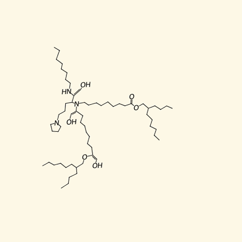 CCCCCCCCNC(=CO)C(CCCN1CCCC1)N(CCCCCCCCC(=O)OCC(CCCC)CCCCCC)C(=CO)CCCCCCCC(=CO)OCC(CCCC)CCCCCC